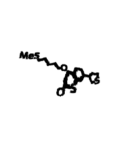 CSCCCCCOc1cc(=O)sc2cc(C3CCSC3)ccc12